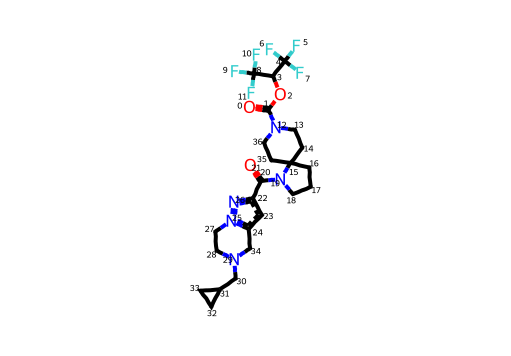 O=C(OC(C(F)(F)F)C(F)(F)F)N1CCC2(CCCN2C(=O)c2cc3n(n2)CCN(CC2CC2)C3)CC1